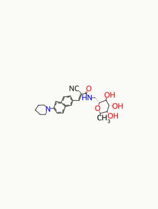 CC1O[C@H](CNC(=O)/C(C#N)=C/c2ccc3cc(N4CCCCC4)ccc3c2)[C@@H](O)[C@H](O)[C@H]1O